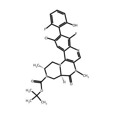 C[C@@H]1CN2c3c(cnc4c(F)c(-c5c(O)cccc5F)c(Cl)cc34)N(C)C(=O)[C@H]2CN1C(=O)OC(C)(C)C